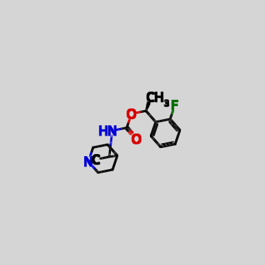 C[C@H](OC(=O)NC1CN2CCC1CC2)c1ccccc1F